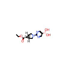 CCOC(=O)[C@H]1[C@@H]2CN(c3ncc(B(O)O)cn3)C[C@@H]21